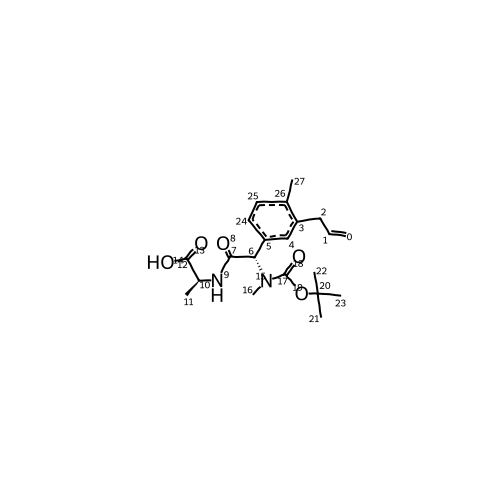 C=CCc1cc([C@@H](C(=O)N[C@@H](C)C(=O)O)N(C)C(=O)OC(C)(C)C)ccc1C